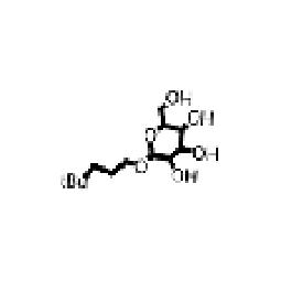 CC(C)(C)CCCOC1OC(CO)C(O)C(O)C1O